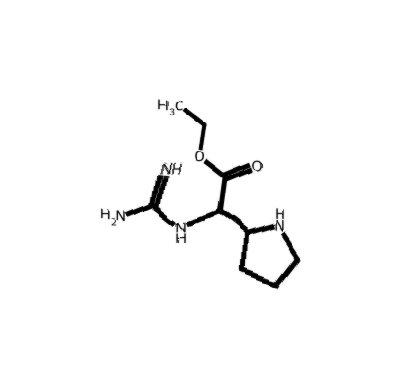 CCOC(=O)C(NC(=N)N)C1CCCN1